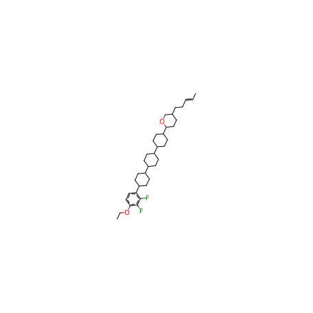 C/C=C/CCC1CCC(C2CCC(C3CCC(C4CCC(c5ccc(OCC)c(F)c5F)CC4)CC3)CC2)OC1